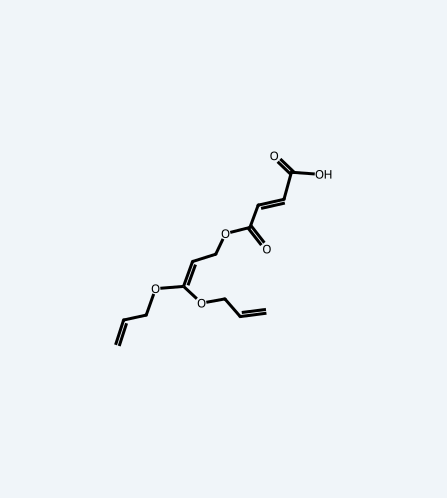 C=CCOC(=CCOC(=O)C=CC(=O)O)OCC=C